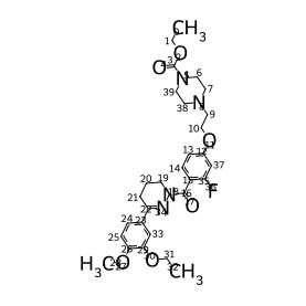 CCOC(=O)N1CCN(CCOc2ccc(C(=O)N3CCCC(c4ccc(OC)c(OCC)c4)=N3)c(F)c2)CC1